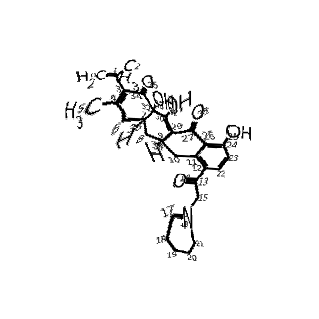 C=C(C)C1=C(C)C[C@H]2C[C@H]3Cc4c(C(=O)CN5CCCCC5)ccc(O)c4C(=O)C3=C(O)[C@@]2(O)C1=O